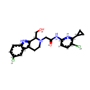 O=C(CN1CCc2c([nH]c3ccc(Cl)cc23)C1CO)Nc1ccc(Cl)c(C2CC2)n1